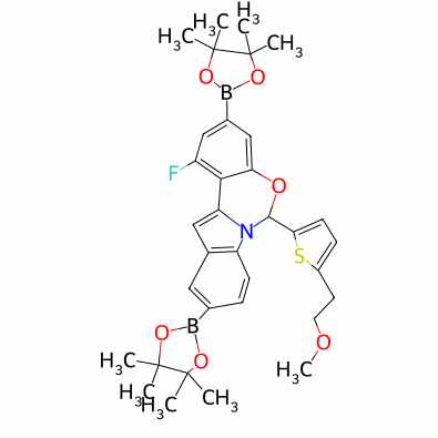 COCCc1ccc(C2Oc3cc(B4OC(C)(C)C(C)(C)O4)cc(F)c3-c3cc4cc(B5OC(C)(C)C(C)(C)O5)ccc4n32)s1